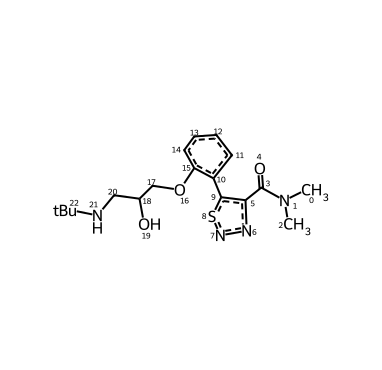 CN(C)C(=O)c1nnsc1-c1ccccc1OCC(O)CNC(C)(C)C